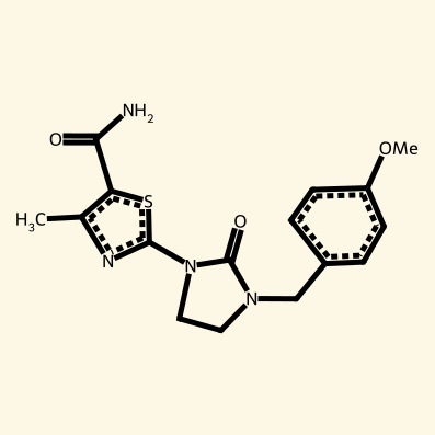 COc1ccc(CN2CCN(c3nc(C)c(C(N)=O)s3)C2=O)cc1